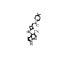 CC1(C)CCN(C(=O)CC2CC(Nc3c(C#N)cnc4[nH]ccc34)C2)CC1